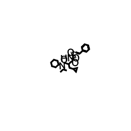 CC(C)N(C(=O)C(CC1CC1)C(=O)NS(=O)(=O)/C=C/c1ccccc1)C1CCCCC1